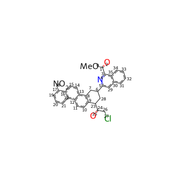 COC(=O)c1nc(C2Cc3c(ccc4c3ccc3c([N+](=O)[O-])cccc34)C(C(=O)CCl)C2)cc2ccccc12